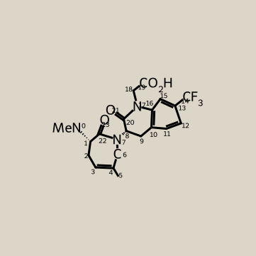 CN[C@H]1CC=C(C)CN([C@H]2Cc3ccc(C(F)(F)F)cc3N(CC(=O)O)C2=O)C1=O